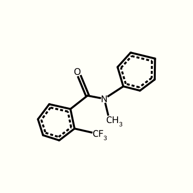 CN(C(=O)c1ccccc1C(F)(F)F)c1ccccc1